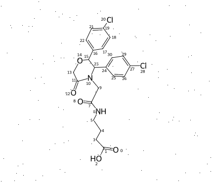 O=C(O)CCCNC(=O)CN1C(=O)COC(c2ccc(Cl)cc2)C1c1ccc(Cl)cc1